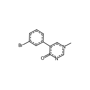 Cn1cnc(=O)c(-c2cccc(Br)c2)c1